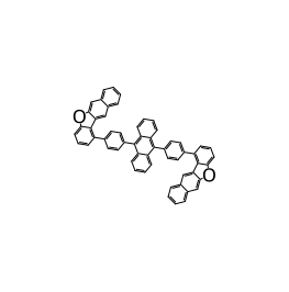 c1ccc2cc3c(cc2c1)oc1cccc(-c2ccc(-c4c5ccccc5c(-c5ccc(-c6cccc7oc8cc9ccccc9cc8c67)cc5)c5ccccc45)cc2)c13